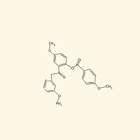 COc1ccc(C(=O)Oc2ccc(OC)cc2C(=O)Cc2cccc(OP)c2)cc1